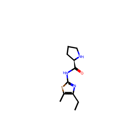 CCc1nc(NC(=O)[C@H]2CCCN2)sc1C